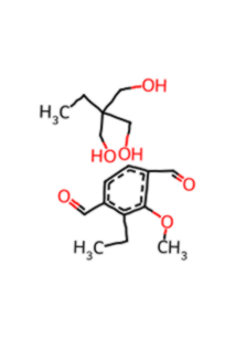 CCC(CO)(CO)CO.CCc1c(C=O)ccc(C=O)c1OC